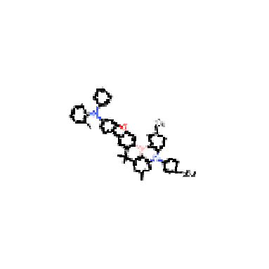 Cc1cc2c3c(c1)C(C)(C)c1cc4c(cc1B3c1cc(C(C)(C)C)ccc1N2c1ccc(C(C)(C)C)cc1)oc1cc(N(c2ccccc2)c2ccccc2C)ccc14